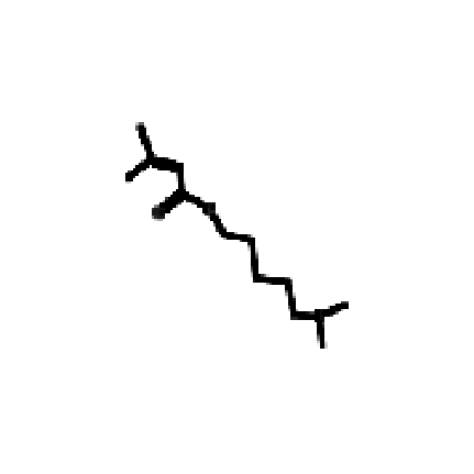 CC(C)=CC(=O)OCCCCCN(C)C